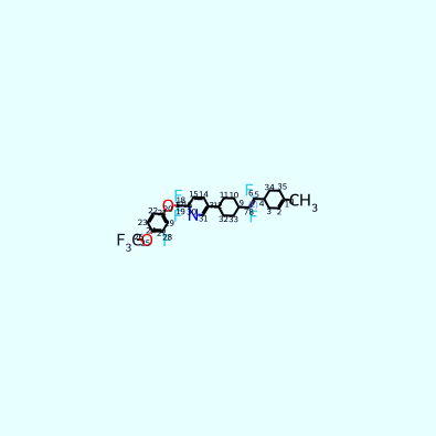 CC1=CCC(/C(F)=C(\F)C2CCC(c3ccc(C(F)(F)Oc4ccc(OC(F)(F)F)c(F)c4)nc3)CC2)CC1